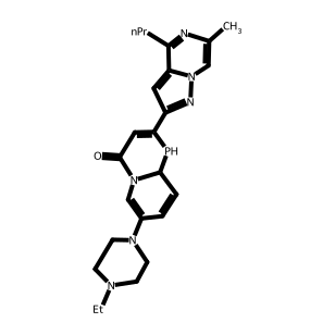 CCCc1nc(C)cn2nc(C3=CC(=O)N4C=C(N5CCN(CC)CC5)C=CC4P3)cc12